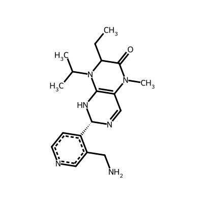 CCC1C(=O)N(C)C2=C(N[C@@H](c3ccncc3CN)N=C2)N1C(C)C